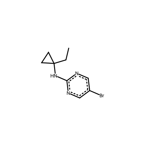 CCC1(Nc2ncc(Br)cn2)CC1